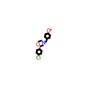 COc1ccc(CN2CCO[C@H](c3ccc(Cl)cc3)C2)cc1